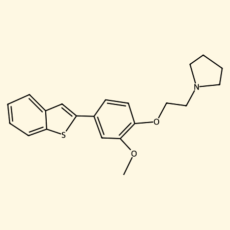 COc1cc(-c2cc3ccccc3s2)ccc1OCCN1CCCC1